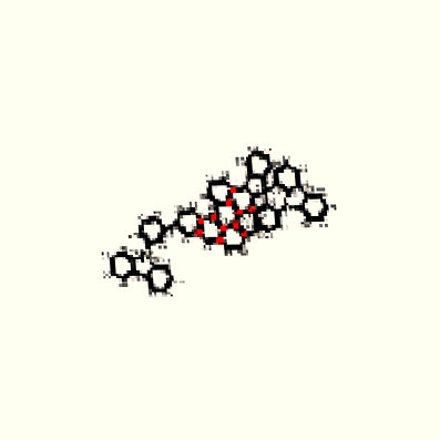 c1ccc(-c2ccccc2-c2ccccc2N(c2ccc(-c3cccc(-n4c5ccccc5c5ccccc54)c3)cc2)c2ccccc2-c2ccc3c(c2)C2(c4ccccc4-3)c3ccccc3-n3c4ccccc4c4cccc2c43)cc1